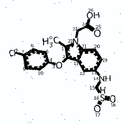 Cc1c(Oc2ccc(Cl)cc2)c2cc(NC[SH](=O)=O)ccc2n1CC(=O)O